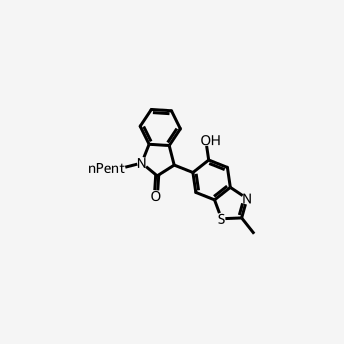 CCCCCN1C(=O)C(c2cc3sc(C)nc3cc2O)c2ccccc21